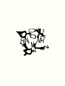 Cc1cc([C@@H](C)Nc2ccccc2C(=O)O)c2nc(NCC3(C(F)(F)F)CC3)c(C#N)nc2c1